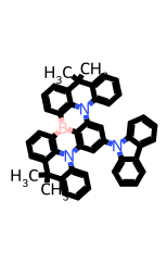 CC1(C)c2ccccc2N2c3cc(-n4c5ccccc5c5ccccc54)cc4c3B(c3cccc1c32)c1cccc2c1N4c1ccccc1C2(C)C